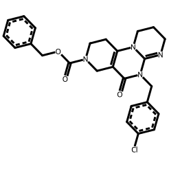 O=C(OCc1ccccc1)N1CCC2=C(C1)C(=O)N(Cc1ccc(Cl)cc1)C1=NCCCN12